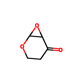 O=C1CCOC2OC12